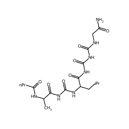 CCCC(=O)NC(C)C(=O)NC(=O)NC(CC(C)C)C(=O)NC(=O)NC(=O)NCC(N)=O